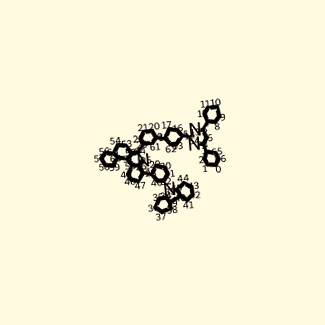 c1ccc(-c2cc(-c3ccccc3)nc(-c3ccc(-c4cccc(-c5nc6c(-c7cccc(-n8c9ccccc9c9ccccc98)c7)cccc6c6c5ccc5ccccc56)c4)cc3)n2)cc1